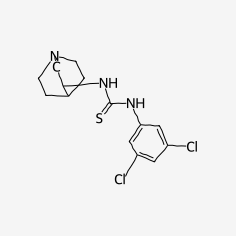 S=C(Nc1cc(Cl)cc(Cl)c1)NC1CN2CCC1CC2